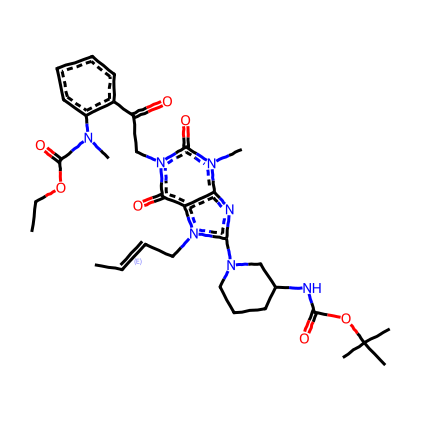 C/C=C/Cn1c(N2CCCC(NC(=O)OC(C)(C)C)C2)nc2c1c(=O)n(CC(=O)c1ccccc1N(C)C(=O)OCC)c(=O)n2C